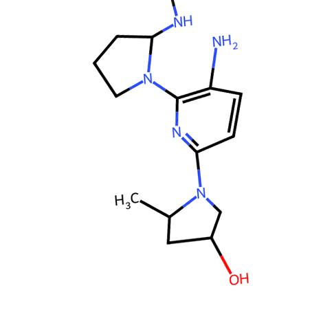 CC1CC(O)CN1c1ccc(N)c(N2CCCC2NC=O)n1